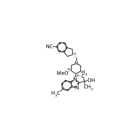 CO[C@@H]1CN(C[C@H]2Cc3ccc(C#N)cc3C2)CC[C@H]1n1c(C(C)(C)O)nc2cc(C)ccc21